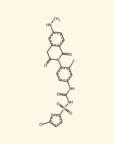 CNc1ccc2c(c1)CC(=O)N(c1ccc(NC(=O)NS(=O)(=O)c3ccc(Cl)s3)cc1F)C2=O